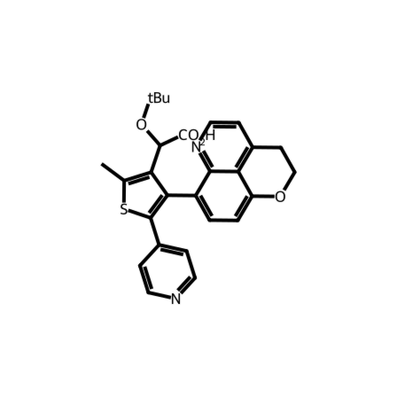 Cc1sc(-c2ccncc2)c(-c2ccc3c4c(ccnc24)CCO3)c1C(OC(C)(C)C)C(=O)O